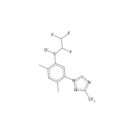 Cc1cc(C)c([S+]([O-])C(F)C(F)F)cc1-n1cnc(C(F)(F)F)n1